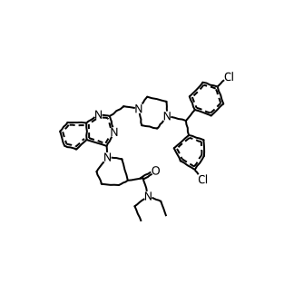 CCN(CC)C(=O)C1CCCN(c2nc(CN3CCN(C(c4ccc(Cl)cc4)c4ccc(Cl)cc4)CC3)nc3ccccc23)C1